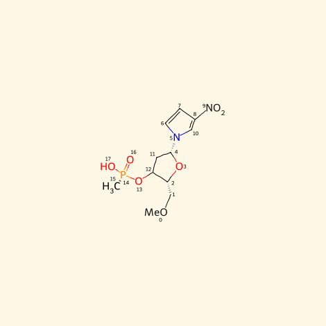 COC[C@H]1O[C@@H](n2ccc([N+](=O)[O-])c2)CC1O[P@](C)(=O)O